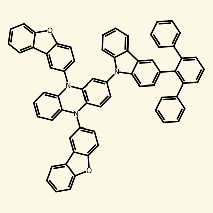 c1ccc(-c2cccc(-c3ccccc3)c2-c2ccc3c(c2)c2ccccc2n3-c2ccc3c(c2)N(c2ccc4oc5ccccc5c4c2)c2ccccc2N3c2ccc3oc4ccccc4c3c2)cc1